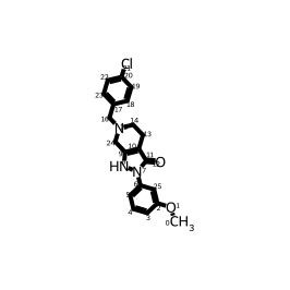 COc1cccc(-n2[nH]c3c(c2=O)CCN(Cc2ccc(Cl)cc2)C3)c1